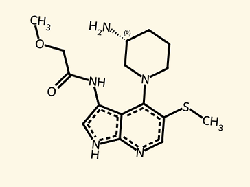 COCC(=O)Nc1c[nH]c2ncc(SC)c(N3CCC[C@@H](N)C3)c12